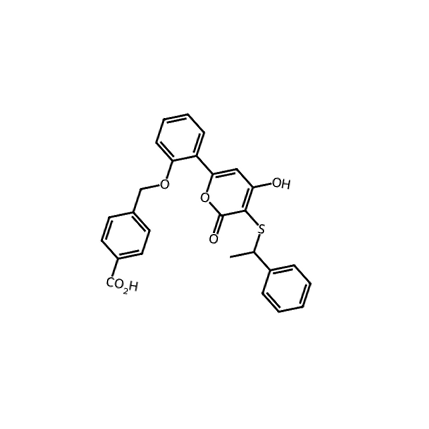 CC(Sc1c(O)cc(-c2ccccc2OCc2ccc(C(=O)O)cc2)oc1=O)c1ccccc1